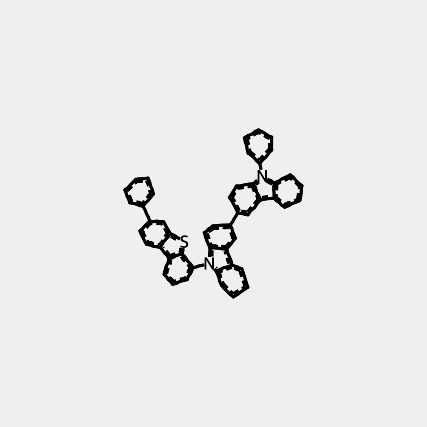 c1ccc(-c2ccc3c(c2)sc2c(-n4c5ccccc5c5cc(-c6ccc7c(c6)c6ccccc6n7-c6ccccc6)ccc54)cccc23)cc1